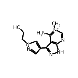 C[n+]1cnc2[nH]nc(-c3cnn(CCO)c3)c2c1N